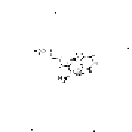 CCCCCC(C#N)=C(C)Nc1ccccc1